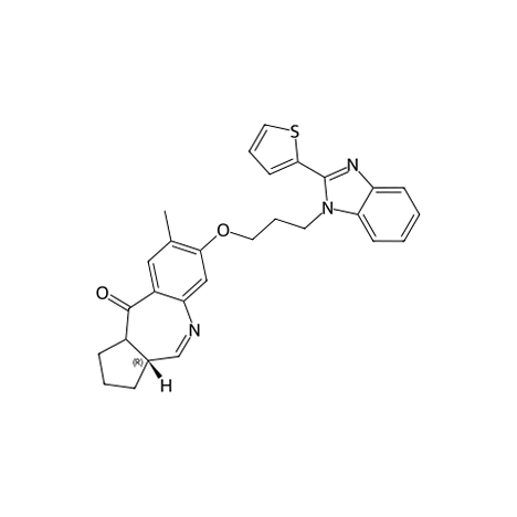 Cc1cc2c(cc1OCCCn1c(-c3cccs3)nc3ccccc31)N=C[C@@H]1CCCC1C2=O